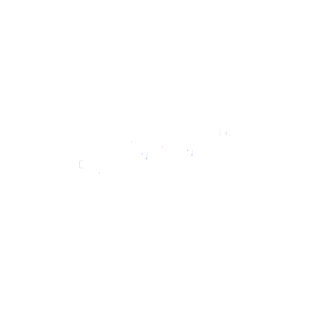 CCOc1ccc(N(CC2CCN(C(=O)OC(C)(C)C)CC2)S(=O)(=O)c2ccccc2)c(-c2ccccc2)c1